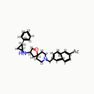 CC(=O)c1ccc2cc(CN3CCC4(CC3)CC(N[C@@H]3C[C@H]3c3ccccc3)CO4)ccc2c1